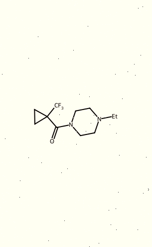 CCN1CCN(C(=O)C2(C(F)(F)F)CC2)CC1